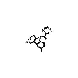 C=C(Cn1c2c(c3cc(C)ccc31)CN(C)CC2)c1cnccn1